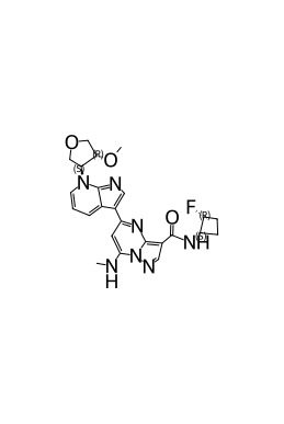 CNc1cc(-c2cnc3n([C@H]4COC[C@@H]4OC)cccc2-3)nc2c(C(=O)N[C@H]3CC[C@H]3F)cnn12